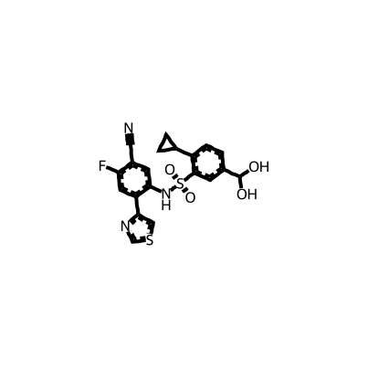 N#Cc1cc(NS(=O)(=O)c2cc(C(O)O)ccc2C2CC2)c(-c2cscn2)cc1F